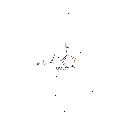 CC(=O)c1cccs1.COC(C)OC